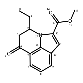 CCC1CC(=O)c2cccc3cc(C(=O)OC)n1c23